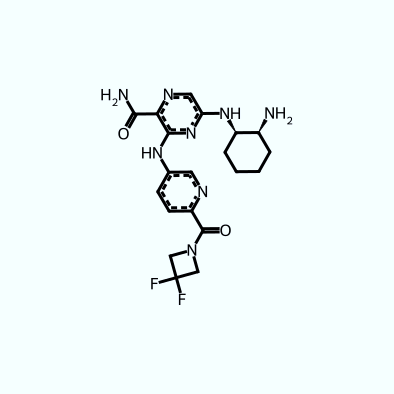 NC(=O)c1ncc(N[C@@H]2CCCC[C@@H]2N)nc1Nc1ccc(C(=O)N2CC(F)(F)C2)nc1